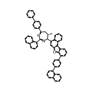 C[C@@H]1CC(c2ccc(-c3ccccc3)cc2)=NC(c2cccc3ccccc23)=NC1c1cc2oc3c(-c4ccc(-c5cccc6ccccc56)cc4)cccc3c2c2ccccc12